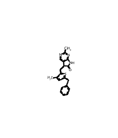 Cc1ncc2c(n1)NC(=O)C2=Cc1sc(Cc2ccccc2)cc1C